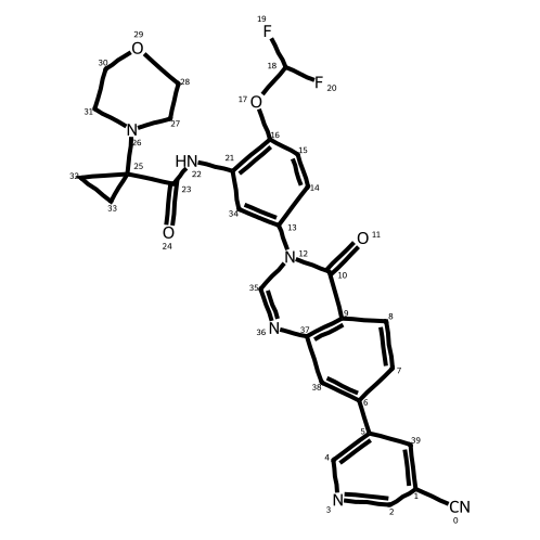 N#Cc1cncc(-c2ccc3c(=O)n(-c4ccc(OC(F)F)c(NC(=O)C5(N6CCOCC6)CC5)c4)cnc3c2)c1